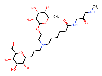 CNCC(=O)CNC(=O)CCCCCN(CCC[C@H]1O[C@H](CO)[C@@H](O)[C@H](O)[C@@H]1O)CCO[C@@H]1O[C@@H](C)[C@@H](O)[C@@H](O)[C@@H]1O